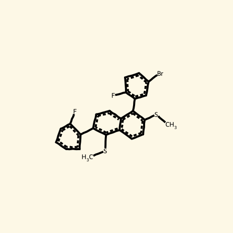 CSc1ccc2c(SC)c(-c3ccccc3F)ccc2c1-c1cc(Br)ccc1F